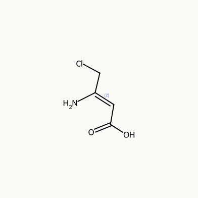 N/C(=C\C(=O)O)CCl